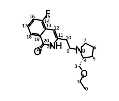 CCOC[C@H]1CCCN1CCc1cc2c(F)cccc2c(=O)[nH]1